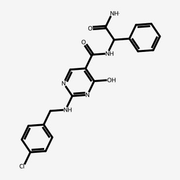 [NH]C(=O)C(NC(=O)c1cnc(NCc2ccc(Cl)cc2)nc1O)c1ccccc1